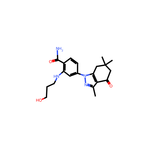 Cc1nn(-c2ccc(C(N)=O)c(NCCCO)c2)c2c1C(=O)CC(C)(C)C2